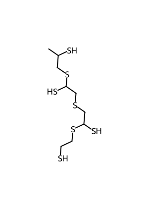 CC(S)CSC(S)CSCC(S)SCCS